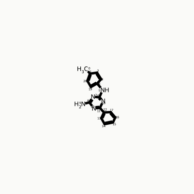 Cc1ccc(Nc2nc(N)nc(-c3ccccc3)n2)cc1